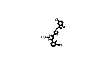 Cc1c(C#N)cccc1-c1cc(-c2cn(Cc3c[nH]c4ccc(Cl)cc34)nn2)nc(N)n1